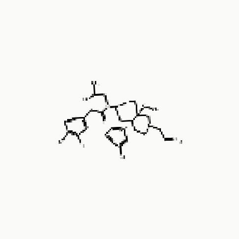 C=CCN1CC[C@@]2(c3cccc(O)c3)C[C@@H](N(CC(C)C)C(=O)Cc3ccc(Cl)c(Cl)c3)CC[C@]2(OC)C1